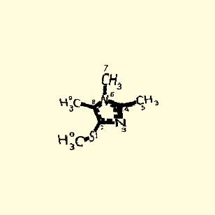 CSc1nc(C)n(C)c1C